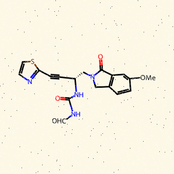 COc1ccc2c(c1)C(=O)N(C[C@@H](C#Cc1nccs1)NC(=O)NC=O)C2